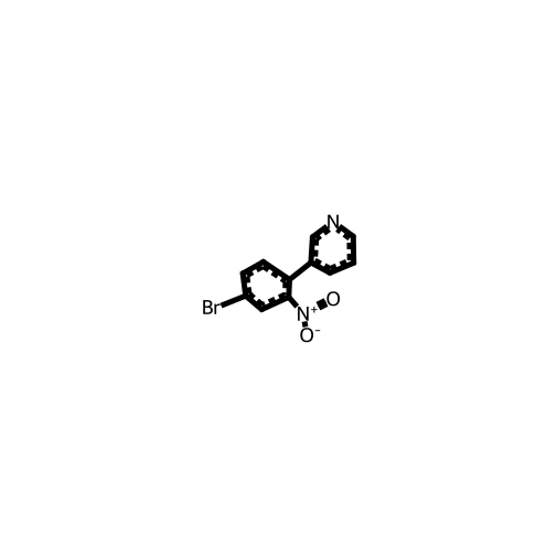 O=[N+]([O-])c1cc(Br)ccc1-c1cccnc1